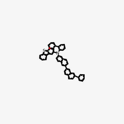 c1ccc(-c2ccc3ccc(-c4ccc5cc(N(c6ccc7sc8ccccc8c7c6)c6ccccc6-c6ccccc6)ccc5c4)cc3c2)cc1